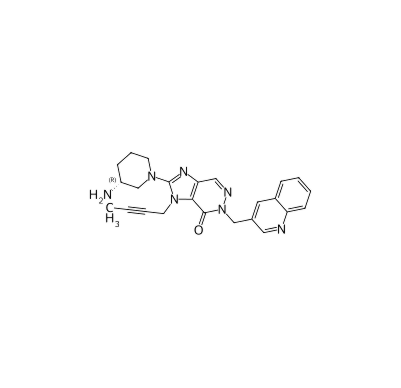 CC#CCn1c(N2CCC[C@@H](N)C2)nc2cnn(Cc3cnc4ccccc4c3)c(=O)c21